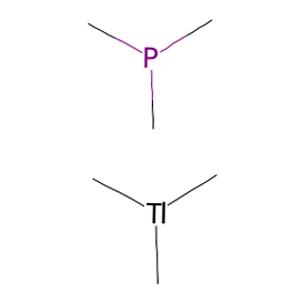 CP(C)C.[CH3][Tl]([CH3])[CH3]